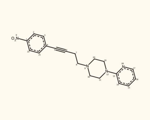 O=[N+]([O-])c1ccc(C#CCCN2CCN(c3ccccn3)CC2)cc1